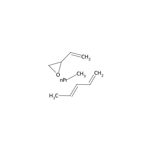 C=CC1CO1.C=CC=CC.CCCC